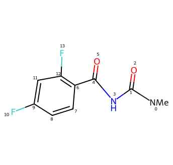 CNC(=O)NC(=O)c1ccc(F)cc1F